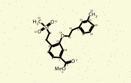 COC(=O)c1ccc(CCS(C)(=O)=O)c(OCCc2cccc(C)c2)c1